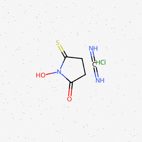 Cl.N=C=N.O=C1CCC(=S)N1O